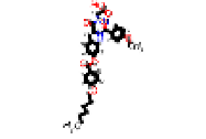 CCCCCCCOc1ccc(C(=O)Oc2ccc(C[C@H](NC(=O)c3ccc(OC)cc3)C(=O)NCC(=O)O)cc2)cc1